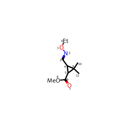 CCON=CC1C(C(=O)OC)C1(C)C